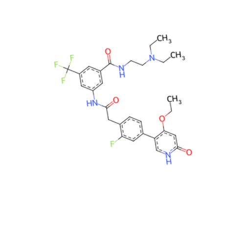 CCOc1cc(=O)[nH]cc1-c1ccc(CC(=O)Nc2cc(C(=O)NCCN(CC)CC)cc(C(F)(F)F)c2)c(F)c1